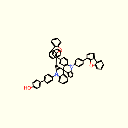 Oc1ccc(-c2ccc(N3c4ccccc4C4(c5ccccc5N(c5ccc(-c6cccc7c6oc6ccccc67)cc5)c5ccc(-c6cccc7c6oc6ccccc67)cc54)c4cc(-c5ccccc5)ccc43)cc2)cc1